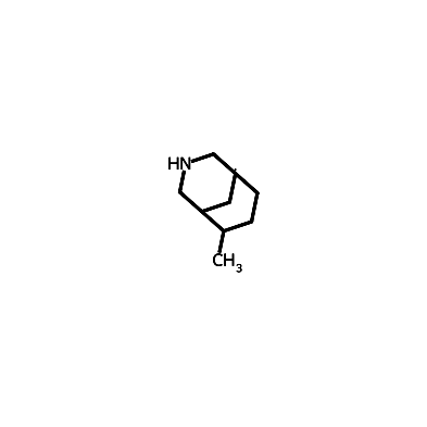 CC1CC[C]2CNCC1C2